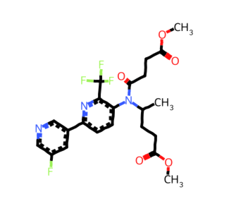 COC(=O)CCC(=O)N(c1ccc(-c2cncc(F)c2)nc1C(F)(F)F)C(C)CCC(=O)OC